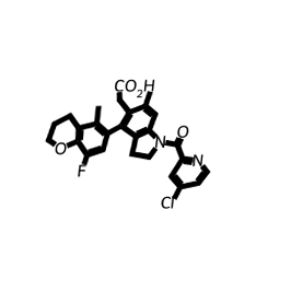 Cc1cc2c(c(-c3cc(F)c4c(c3C)CCCO4)c1CC(=O)O)CCN2C(=O)c1cc(Cl)ccn1